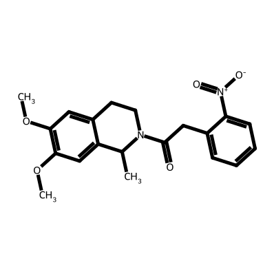 COc1cc2c(cc1OC)C(C)N(C(=O)Cc1ccccc1[N+](=O)[O-])CC2